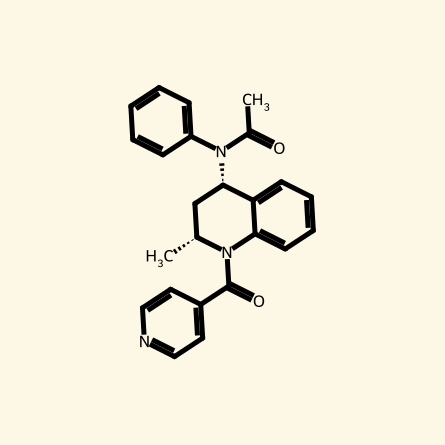 CC(=O)N(c1ccccc1)[C@H]1C[C@@H](C)N(C(=O)c2ccncc2)c2ccccc21